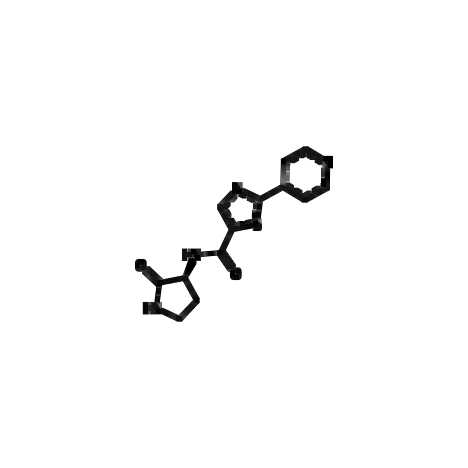 O=C(N[C@H]1CCNC1=O)c1cnc(-c2ccncc2)s1